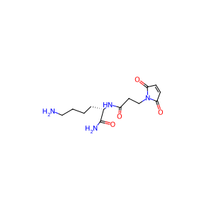 NCCCC[C@H](NC(=O)CCN1C(=O)C=CC1=O)C(N)=O